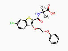 CC(C)(NC(=O)c1sc2cc(Cl)ccc2c1OCCOc1ccccc1)C(=O)O